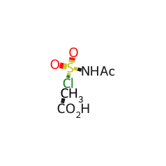 CC(=O)NS(=O)(=O)Cl.CC(=O)O